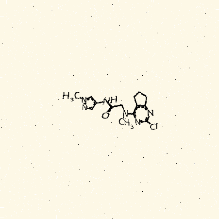 CN(CC(=O)Nc1cnn(C)c1)c1nc(Cl)nc2c1CCC2